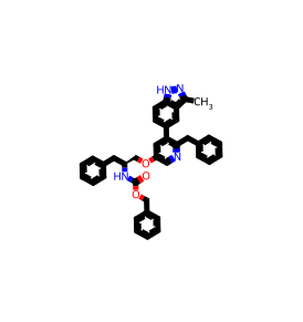 Cc1n[nH]c2ccc(-c3cc(OC[C@H](Cc4ccccc4)NC(=O)OCc4ccccc4)cnc3Cc3ccccc3)cc12